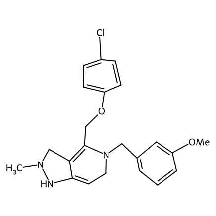 COc1cccc(CN2CC=C3NN(C)CC3=C2COc2ccc(Cl)cc2)c1